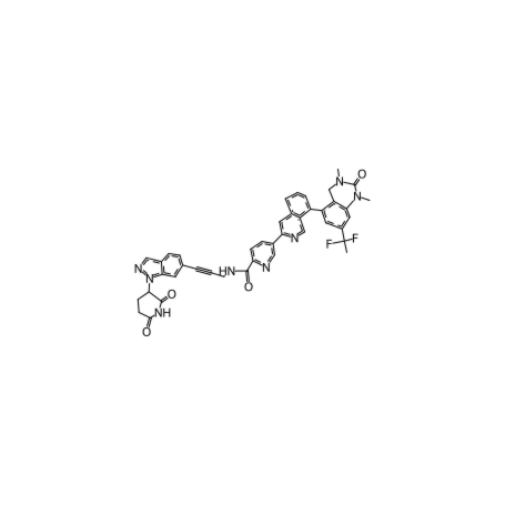 CN1Cc2c(-c3cccc4cc(-c5ccc(C(=O)NCC#Cc6ccc7cnn(C8CCC(=O)NC8=O)c7c6)nc5)ncc34)cc(C(C)(F)F)cc2N(C)C1=O